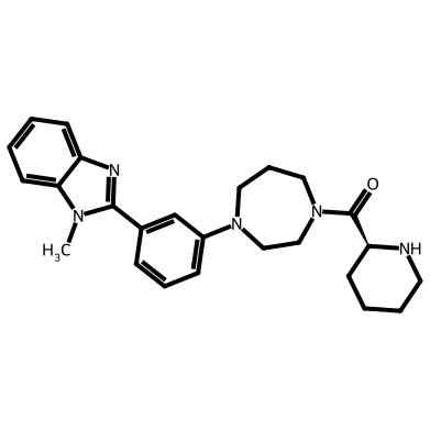 Cn1c(-c2cccc(N3CCCN(C(=O)[C@@H]4CCCCN4)CC3)c2)nc2ccccc21